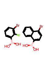 OB(O)c1ccc(Br)c2ccccc12.OB(O)c1cccc(Br)c1F